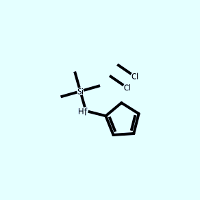 CCl.CCl.C[Si](C)(C)[Hf][C]1=CC=CC1